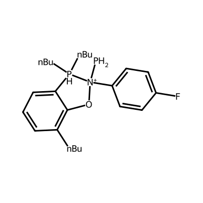 CCCCc1cccc2c1O[N+](P)(c1ccc(F)cc1)[PH]2(CCCC)CCCC